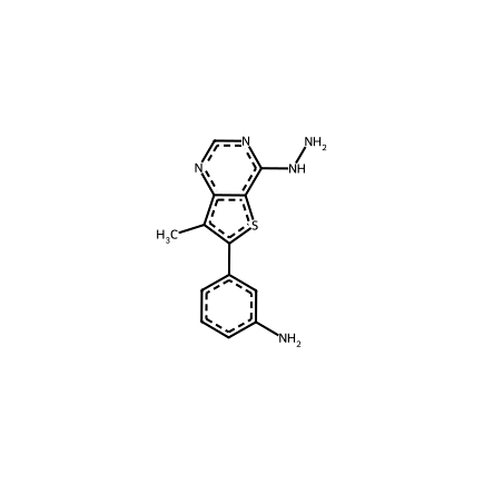 Cc1c(-c2cccc(N)c2)sc2c(NN)ncnc12